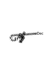 CC/C=C\C/C=C\C/C=C\C/C=C\CCCCCCC(=O)O[C@H](COC(=O)CCCCCCCCCCCCCCCCCCCCC)COP(=O)(O)OCC[N+](C)(C)C